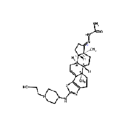 C[C@]12CCc3nc(NN4CCN(CCO)CC4)sc3C1=CC[C@@H]1[C@@H]2CC[C@]2(C)/C(=N/NC(N)=O)CC[C@@H]12